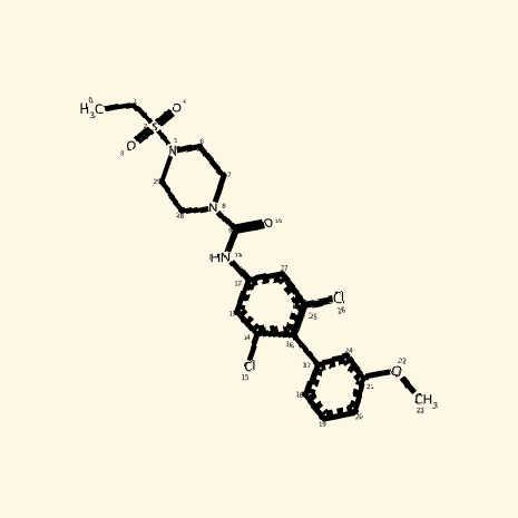 CCS(=O)(=O)N1CCN(C(=O)Nc2cc(Cl)c(-c3cccc(OC)c3)c(Cl)c2)CC1